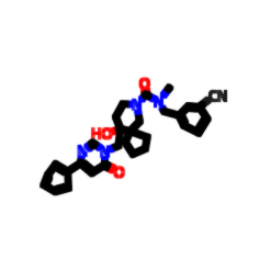 CN(Cc1cccc(C#N)c1)C(=O)N1CCC(O)(Cn2cnc(-c3ccccc3)cc2=O)C2(CCCC2)C1